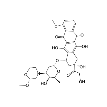 COc1cccc2c1C(=O)c1c(O)c3c(c(O)c1C2=O)C[C@@](O)(C(=O)CO)C[C@@H]3O[C@H]1C[C@H](N2CCO[C@@H](OC)C2)[C@H](O)[C@H](C)O1